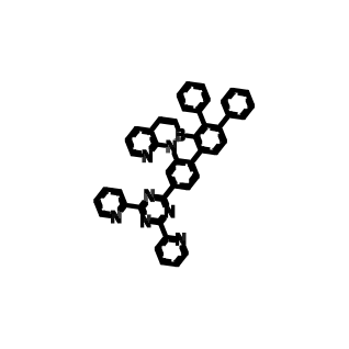 C1=Cc2cccnc2N2B1c1c(ccc(-c3ccccc3)c1-c1ccccc1)-c1ccc(-c3nc(-c4ccccn4)nc(-c4ccccn4)n3)cc12